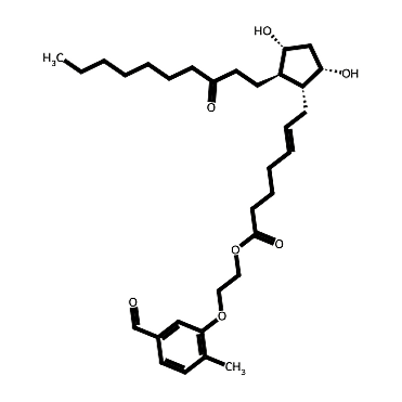 CCCCCCCC(=O)CC[C@@H]1[C@@H](CC=CCCCC(=O)OCCOc2cc(C=O)ccc2C)[C@@H](O)C[C@H]1O